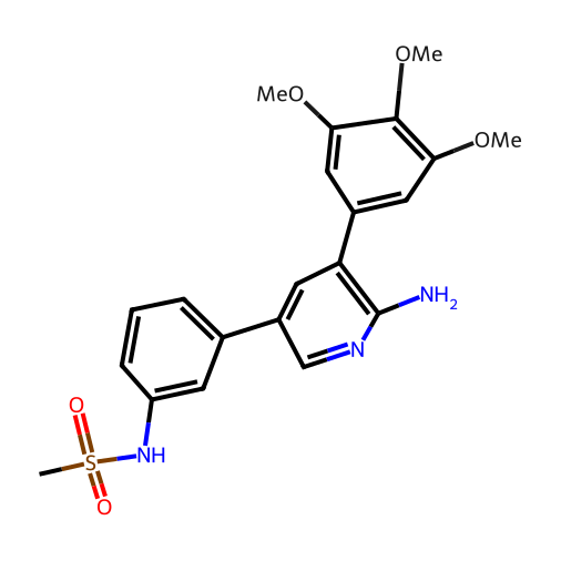 COc1cc(-c2cc(-c3cccc(NS(C)(=O)=O)c3)cnc2N)cc(OC)c1OC